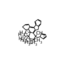 CC1(CC2C=CC=C2)C2=C3Cc4ccccc4C3=C3C=CCCC3C2(C)C(C)(C)C(C)(C)C1(C)C